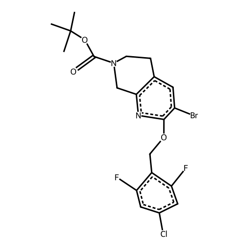 CC(C)(C)OC(=O)N1CCc2cc(Br)c(OCc3c(F)cc(Cl)cc3F)nc2C1